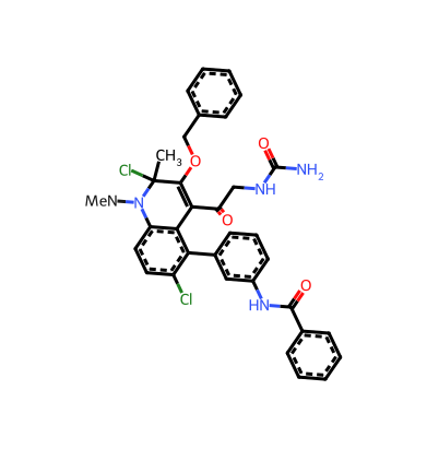 CNN1c2ccc(Cl)c(-c3cccc(NC(=O)c4ccccc4)c3)c2C(C(=O)CNC(N)=O)=C(OCc2ccccc2)C1(C)Cl